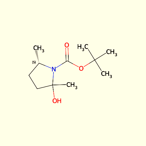 C[C@H]1CCC(C)(O)N1C(=O)OC(C)(C)C